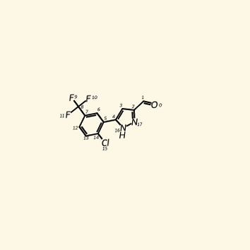 O=Cc1cc(-c2cc(C(F)(F)F)ccc2Cl)[nH]n1